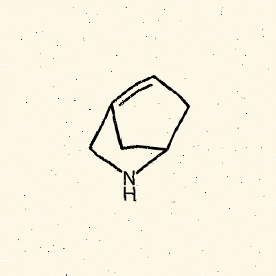 C1=C2CNC(C1)C2